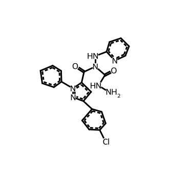 NNC(=O)N(Nc1ccccn1)C(=O)c1cc(-c2ccc(Cl)cc2)nn1-c1ccccc1